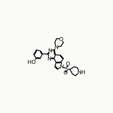 O=S(=O)(C1CCNCC1)n1ccc2c3nc(-c4cccc(O)c4)nc(N4CCOCC4)c3ccc21